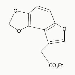 CCOC(=O)Cc1coc2ccc3c(c12)OCO3